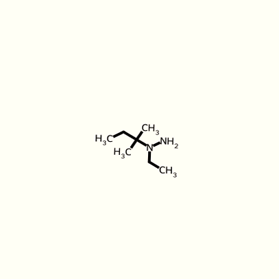 CCN(N)C(C)(C)CC